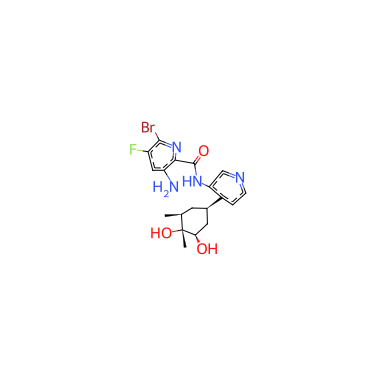 C[C@H]1C[C@@H](c2ccncc2NC(=O)c2nc(Br)c(F)cc2N)C[C@@H](O)[C@]1(C)O